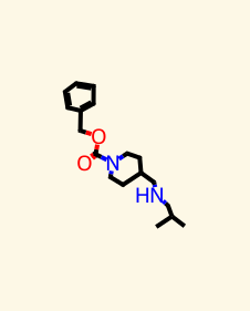 CC(C)CNCC1CCN(C(=O)OCc2ccccc2)CC1